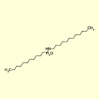 CCCCCCCCCCCCNCCCCCCCCCCCC.O